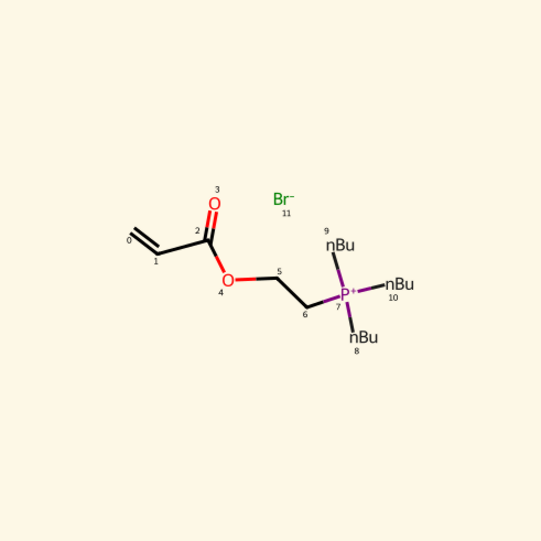 C=CC(=O)OCC[P+](CCCC)(CCCC)CCCC.[Br-]